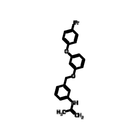 C=C(C)Nc1cccc(COc2cccc(Oc3ccc(C(C)C)cc3)c2)c1